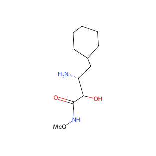 CONC(=O)C(O)[C@H](N)CC1CCCCC1